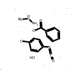 CC(C)(C)NN.Cl.O=C(Cl)c1ccccc1.O=C=Nc1ccc(Cl)cc1